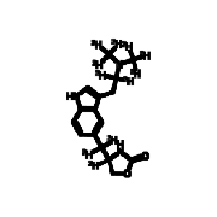 [2H]C([2H])([2H])N(C([2H])([2H])[2H])C([2H])([2H])Cc1c[nH]c2ccc(C([2H])([2H])[C@@]3([2H])COC(=O)N3)cc12